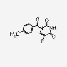 Cc1ccc(C(=O)n2cc(F)c(=O)[nH]c2=O)cc1